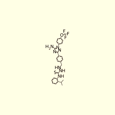 CC(C)c1ccccc1NC(=S)NNCc1ccc(-c2nc(N)n(-c3ccc(OC(F)(F)F)cc3)n2)cc1